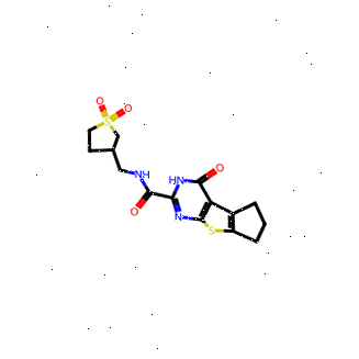 O=C(NCC1CCS(=O)(=O)C1)c1nc2sc3c(c2c(=O)[nH]1)CCC3